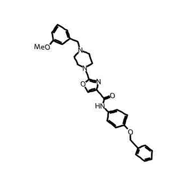 COc1cccc(CN2CCN(c3nc(C(=O)Nc4ccc(OCc5ccccc5)cc4)co3)CC2)c1